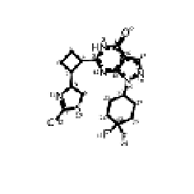 O=c1[nH]c([C@@H]2CC[C@@H]2C2CSC(Cl)=N2)nc2c1cnn2C1CCC(F)(F)CC1